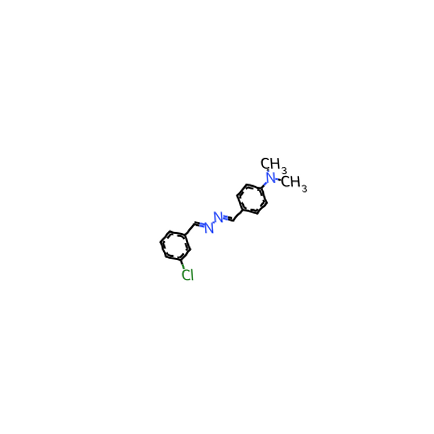 CN(C)c1ccc(/C=N/N=C/c2cccc(Cl)c2)cc1